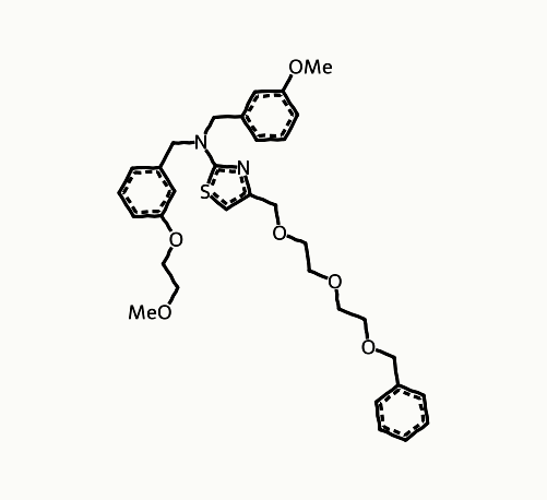 COCCOc1cccc(CN(Cc2cccc(OC)c2)c2nc(COCCOCCOCc3ccccc3)cs2)c1